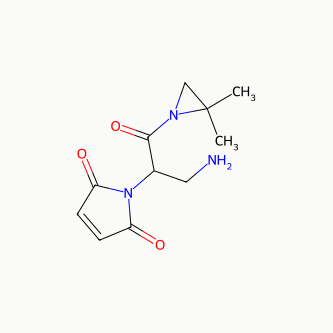 CC1(C)CN1C(=O)C(CN)N1C(=O)C=CC1=O